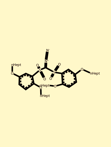 CCCCCCCOc1ccc(OCCCCCCC)c(S(=O)(=O)C(=[N+]=[N-])S(=O)(=O)c2cc(OCCCCCCC)ccc2OCCCCCCC)c1